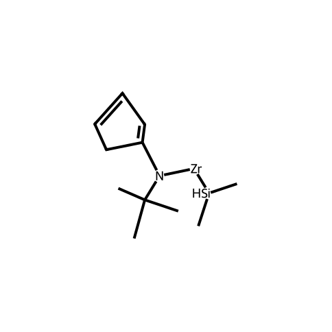 C[SiH](C)[Zr][N](C1=CC=CC1)C(C)(C)C